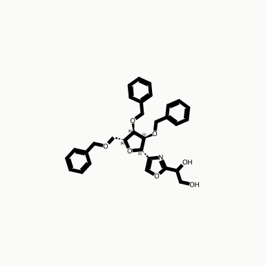 OCC(O)c1nc([C@@H]2O[C@H](COCc3ccccc3)[C@@H](OCc3ccccc3)[C@H]2OCc2ccccc2)co1